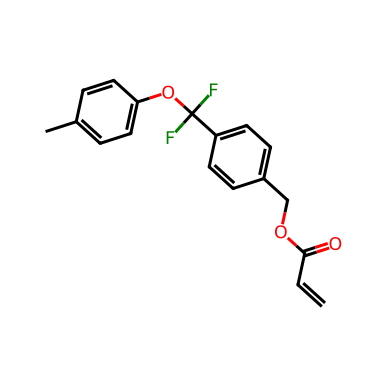 C=CC(=O)OCc1ccc(C(F)(F)Oc2ccc(C)cc2)cc1